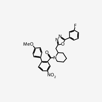 COc1ccc(-c2ccc([N+](=O)[O-])cc2C(=O)N2CCCCC2Cc2nnc(-c3cccc(F)c3)o2)cc1